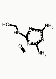 C=O.Nc1nc(N)nc(NCO)n1